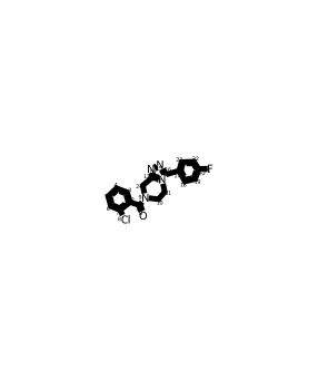 O=C(c1ccccc1Cl)N1CCn2c(nnc2-c2ccc(F)cc2)C1